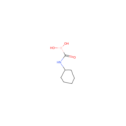 O=C(NC1CCCCC1)B(O)O